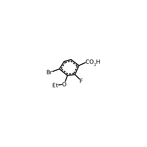 CCOc1c(Br)ccc(C(=O)O)c1F